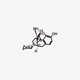 N[C@H]1CC[C@H](O)C2[C@H]3Cc4ccc(O)c5c4[C@@]2(CCN3CC2CC2)[C@H]1O5